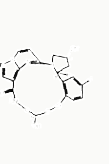 O=C1NC[C@H](O)COc2ccc(F)cc2[C@H]2C[C@@H](O)CN2c2ccn3ncc1c3n2